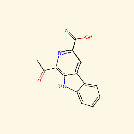 CC(=O)c1nc(C(=O)O)cc2c1[nH]c1ccccc12